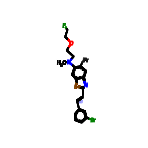 CC(C)c1cc2nc(/C=C/c3cccc(Br)c3)sc2cc1N(C)CCOCCF